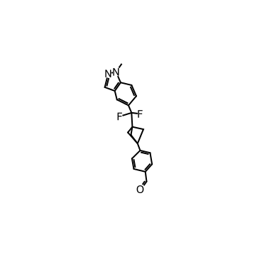 Cn1ncc2cc(C(F)(F)C34CC(c5ccc(C=O)cc5)(C3)C4)ccc21